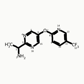 CC(N)c1ncc(Oc2ccc(C(F)(F)F)cn2)cn1